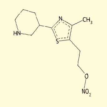 Cc1nc(C2CCCNC2)sc1CCO[N+](=O)[O-]